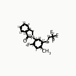 Cc1cc(F)c(N2Cc3ccccc3C2=O)cc1SCC(F)(F)F